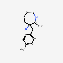 COc1ccc(CC2(N)CCCCNC2C=O)cc1